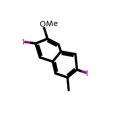 COc1cc2cc(I)c(C)cc2cc1I